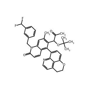 CC(=O)C(OC(C)(C)C)c1c(C)cc2c(ccc(=O)n2Cc2cccc(C(F)F)c2)c1-c1ccc2c3c(ccnc13)CCO2